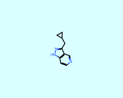 c1cc2[nH]nc(CC3CC3)c2cn1